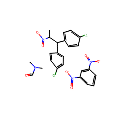 CC(C(c1ccc(Cl)cc1)c1ccc(Cl)cc1)[N+](=O)[O-].CN(C)C=O.O=[N+]([O-])c1[c]ccc([N+](=O)[O-])c1